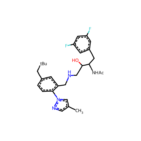 CC(=O)NC(Cc1cc(F)cc(F)c1)C(O)CNCc1cc(CC(C)(C)C)ccc1-n1cc(C)cn1